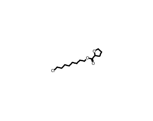 O=C(OCCCCCCCCCl)C1CCCO1